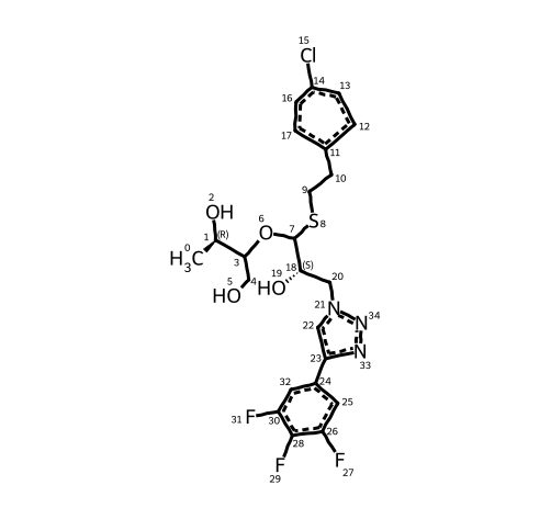 C[C@@H](O)C(CO)OC(SCCc1ccc(Cl)cc1)[C@@H](O)Cn1cc(-c2cc(F)c(F)c(F)c2)nn1